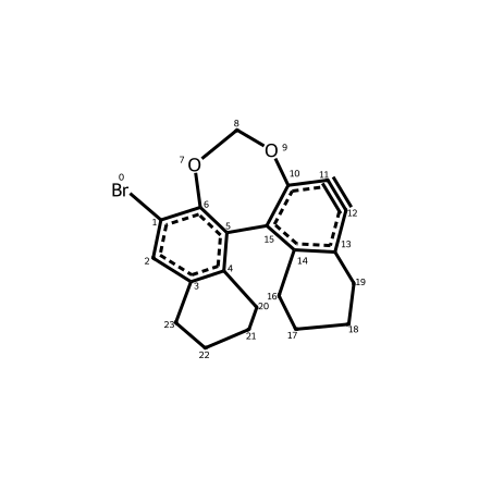 Brc1cc2c(c3c1OCOc1c#cc4c(c1-3)CCCC4)CCCC2